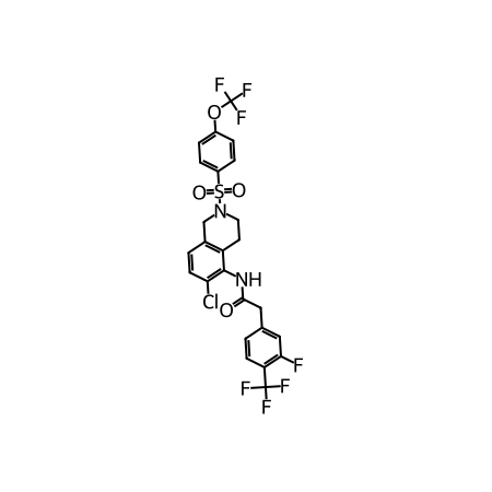 O=C(Cc1ccc(C(F)(F)F)c(F)c1)Nc1c(Cl)ccc2c1CCN(S(=O)(=O)c1ccc(OC(F)(F)F)cc1)C2